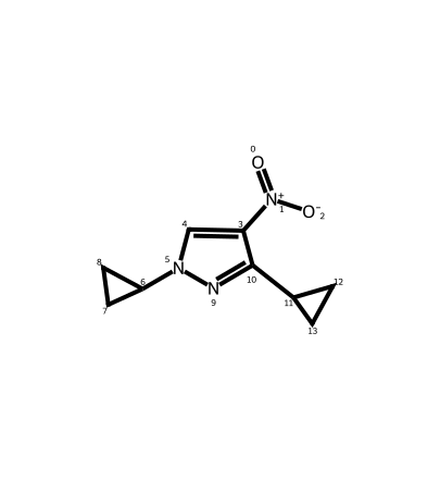 O=[N+]([O-])c1cn(C2CC2)nc1C1CC1